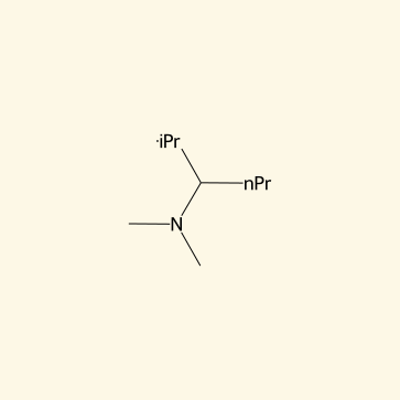 CCCC([C](C)C)N(C)C